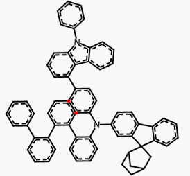 c1ccc(-c2ccccc2-c2ccccc2-c2ccccc2N(c2ccc(-c3cccc4c3c3ccccc3n4-c3ccccc3)cc2)c2ccc3c(c2)C2(CC4CCC2C4)c2ccccc2-3)cc1